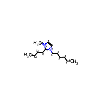 CCCCCCN1C=CN(C)C1CCCC